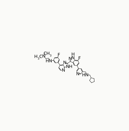 CN(C)CCNc1cc(F)cc(-c2ccnc3[nH]c(-c4n[nH]c5c(F)cc(-c6cncc(CNCC7CCCC7)c6)cc45)nc23)c1